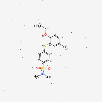 CN(C)S(=O)(=O)c1ccc(Sc2cc(C(F)(F)F)ccc2OCC(=O)O)cc1